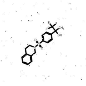 CC(O)(c1ccc(S(=O)(=O)N2CCc3ccccc3C2)cc1)C(F)(F)F